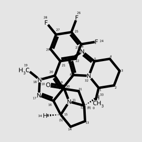 CC1CCCc2ncc(C(=O)N3[C@@H]4CC[C@H]3c3nn(C)c(-c5cc(F)c(F)c(F)c5)c3C4)n21